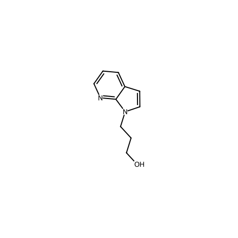 OCCCn1ccc2cccnc21